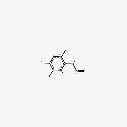 C=NOc1nc(C)c(C)cc1C